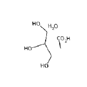 CC(=O)O.O.OCC(O)CO